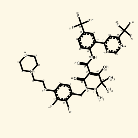 CN1N(Cc2ccc(OCCN3CCOCC3)c(F)c2F)C(=O)C(C(=O)Nc2ccc(C(F)(F)F)cc2-c2cc(C(F)(F)F)ncn2)=C(O)C1(C)C